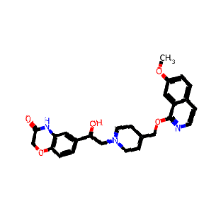 COc1ccc2ccnc(OCC3CCN(CC(O)c4ccc5c(c4)NC(=O)CO5)CC3)c2c1